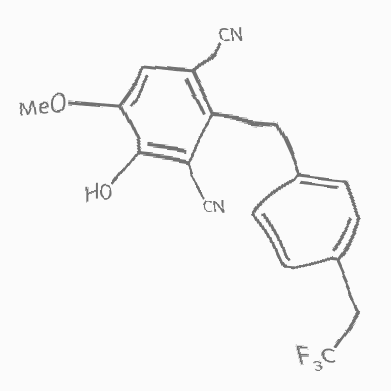 COc1cc(C#N)c(Cc2ccc(CC(F)(F)F)cc2)c(C#N)c1O